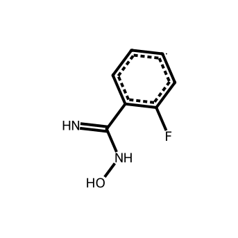 N=C(NO)c1cc[c]cc1F